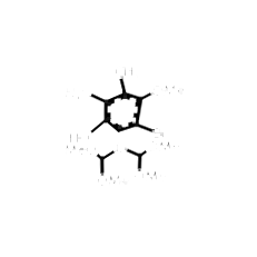 COC(OC)OC(OC)OC.COc1c(Br)cc(O)c(C)c1C